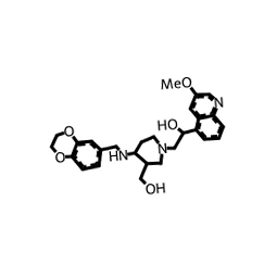 COc1cnc2cccc(C(O)CN3CCC(NCc4ccc5c(c4)OCCO5)C(CO)C3)c2c1